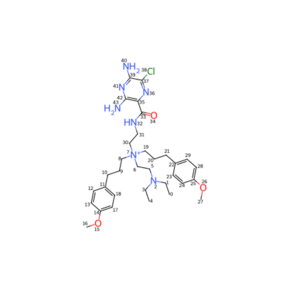 CCN(CC)CC[N+](CCCc1ccc(OC)cc1)(CCCc1ccc(OC)cc1)CCNC(=O)c1nc(Cl)c(N)nc1N